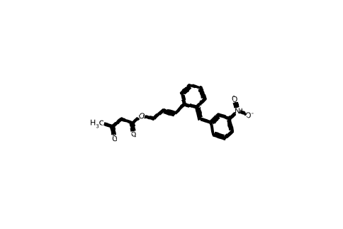 CC(=O)CC(=O)OCC=CC1C=CC=CC1=Cc1cccc([N+](=O)[O-])c1